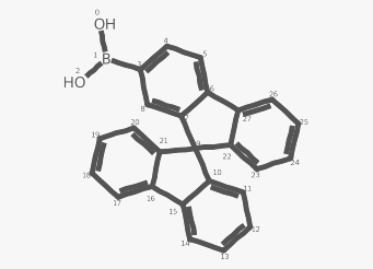 OB(O)c1ccc2c(c1)C1(c3ccccc3-c3ccccc31)c1ccccc1-2